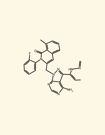 C=NN/C(=C\C)c1nn(Cc2cc3cccc(C)c3c(=O)n2-c2ccccc2F)c2ncnc(N)c12